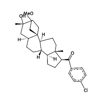 COCC[C@]12CC[C@@](C)(O)C[C@@H]1CC[C@H]1[C@@H]3CC[C@H](C(=O)c4ccc(Cl)cc4)[C@@]3(C)CC[C@@H]12